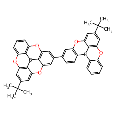 CC(C)(C)c1cc2c3c(c1)Oc1cc(-c4cc5c6c(c4)Oc4cc(C(C)(C)C)cc7c4B6c4c(cccc4O7)O5)ccc1B3c1ccccc1O2